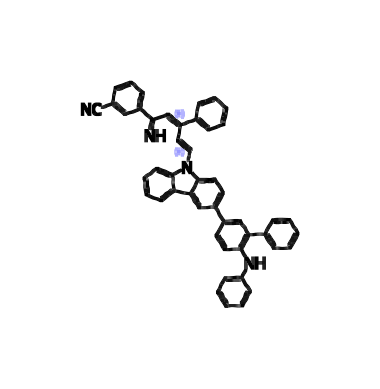 N#Cc1cccc(C(=N)/C=C(\C=C\n2c3ccccc3c3cc(-c4ccc(Nc5ccccc5)c(-c5ccccc5)c4)ccc32)c2ccccc2)c1